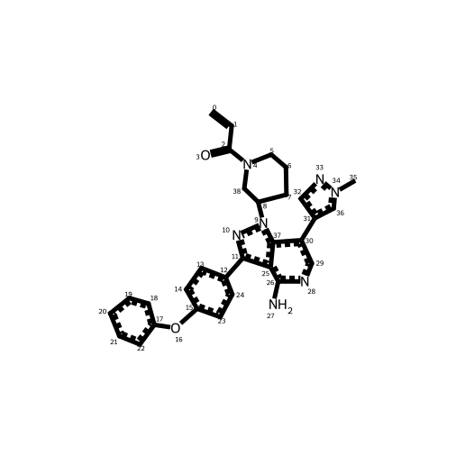 C=CC(=O)N1CCCC(n2nc(-c3ccc(Oc4ccccc4)cc3)c3c(N)ncc(-c4cnn(C)c4)c32)C1